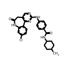 CC1CCC(NC(=O)c2ccc(Nc3ncc4c(n3)-c3ccc(Cl)cc3NC(=O)C4)cc2)CC1